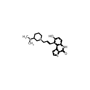 CN(C)C1CCCN(CC=Cc2c(O)ccc3[nH]c(=O)c4sccc4c23)C1